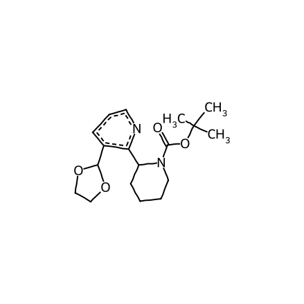 CC(C)(C)OC(=O)N1CCCCC1c1ncccc1C1OCCO1